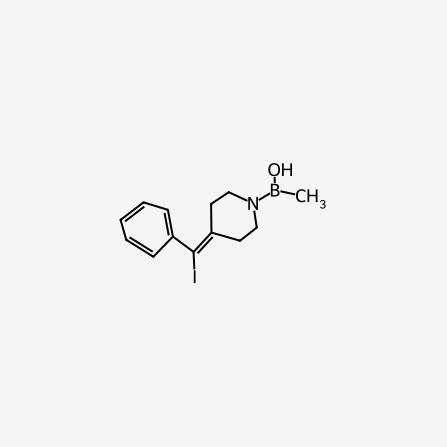 CB(O)N1CCC(=C(I)c2ccccc2)CC1